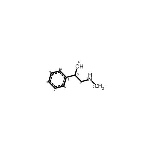 [CH2]NCC(O)c1ccccc1